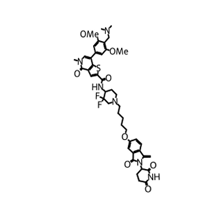 C=C1c2ccc(OCCCCCN3CCC(NC(=O)c4cc5c(=O)n(C)cc(-c6cc(OC)c(CN(C)C)c(OC)c6)c5s4)C(F)(F)C3)cc2C(=O)N1C1CCC(=O)NC1=O